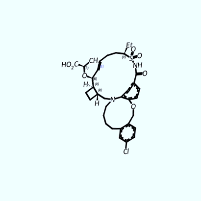 CC[C@@H]1CC/C=C/[C@H](O[C@H](C)C(=O)O)[C@@H]2CC[C@H]2CN2CCCCc3cc(Cl)ccc3COc3ccc(cc32)C(=O)NS1(=O)=O